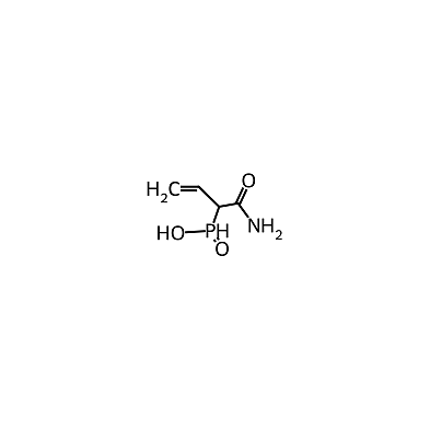 C=CC(C(N)=O)[PH](=O)O